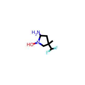 CC1(C(F)F)CC(N)N(O)C1